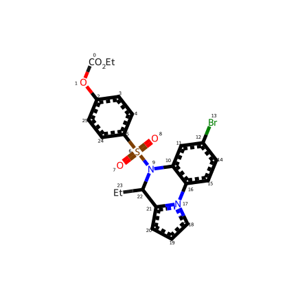 CCOC(=O)Oc1ccc(S(=O)(=O)N2c3cc(Br)ccc3-n3cccc3C2CC)cc1